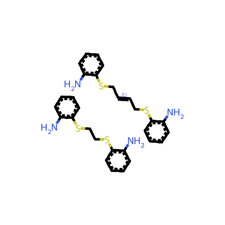 Nc1ccccc1SC/C=C/CSc1ccccc1N.Nc1ccccc1SCCSc1ccccc1N